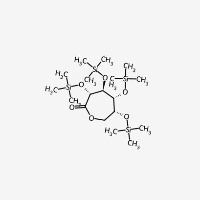 C[Si](C)(C)O[C@H]1[C@H](O[Si](C)(C)C)[C@@H](O[Si](C)(C)C)C(=O)OC[C@H]1O[Si](C)(C)C